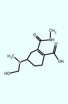 CNC(=O)C1=C(C(=O)O)CCC(N(C)CO)C1